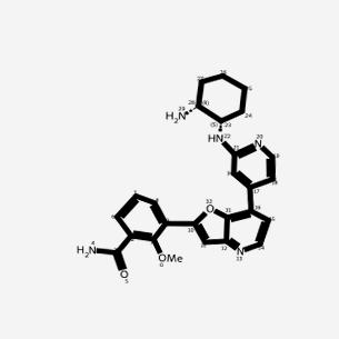 COc1c(C(N)=O)cccc1-c1cc2nccc(-c3ccnc(N[C@H]4CCCC[C@H]4N)c3)c2o1